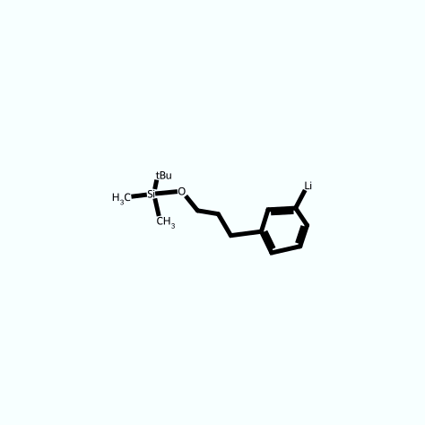 [Li][c]1cccc(CCCO[Si](C)(C)C(C)(C)C)c1